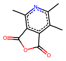 Cc1nc(C)c2c(c1C)C(=O)OC2=O